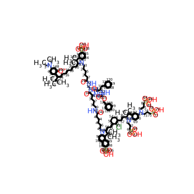 CCN(CC)c1ccc2c(C(C)(C)C)cc(/C=C/C=C/C=C3/N(CCCCCC(=O)NCNC(=O)C(CCCCNC(=O)CCCCCN4/C(=C/C=C5\CCCC(/C=C/C6=[N+](CCCS(=O)(=O)O)c7ccc(N(CCCS(=O)(=O)O)CCCS(=O)(=O)O)cc7C6(C)C)=C5Cl)C(C)(C)c5c4ccc4cc(S(=O)(=O)O)ccc54)NC(=O)C(Cc4ccccc4)NC(=O)OCc4ccccc4)c4ccc(S(=O)(=O)O)cc4C3(C)C)[o+]c2c1